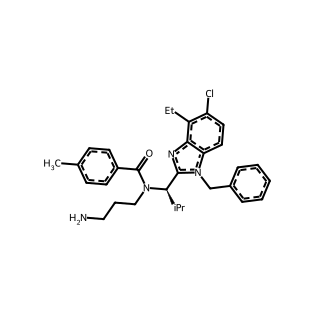 CCc1c(Cl)ccc2c1nc([C@@H](C(C)C)N(CCCN)C(=O)c1ccc(C)cc1)n2Cc1ccccc1